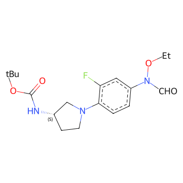 CCON(C=O)c1ccc(N2CC[C@H](NC(=O)OC(C)(C)C)C2)c(F)c1